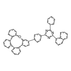 c1ccc(-c2nc(-c3ccc(-c4ccc5c(c4)oc4ccccc4c4ccccc4c4ccccc54)cc3)nc(-c3cccc4ccccc34)n2)cc1